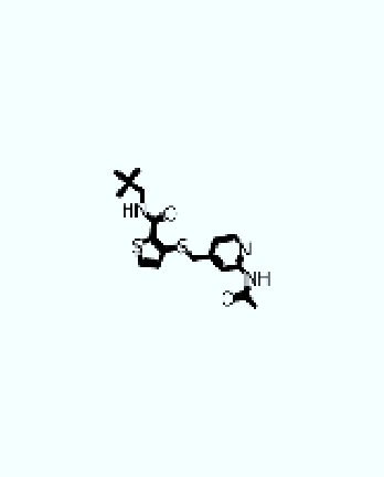 CC(=O)Nc1cc(CSc2ccsc2C(=O)NCC(C)(C)C)ccn1